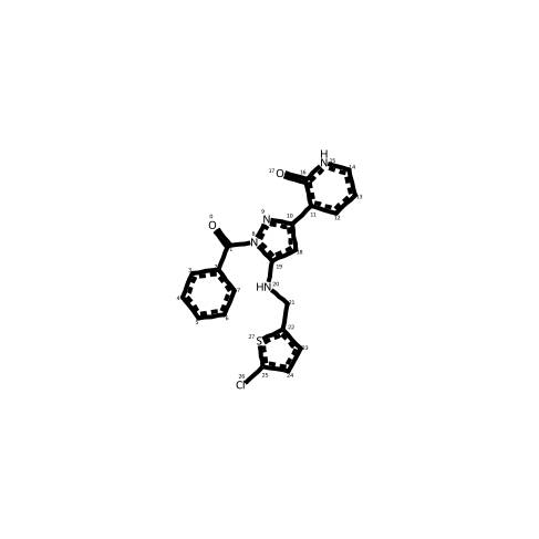 O=C(c1ccccc1)n1nc(-c2ccc[nH]c2=O)cc1NCc1ccc(Cl)s1